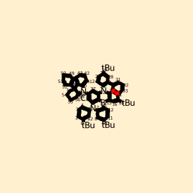 CC(C)(C)c1cccc(N2c3cc(C(C)(C)C)ccc3B3c4cc(C(C)(C)C)ccc4N(c4ccc(C(C)(C)C)cc4-c4ccccc4)c4cc(N5c6ccccc6C6(c7ccccc7)CCCCC56C)cc2c43)c1